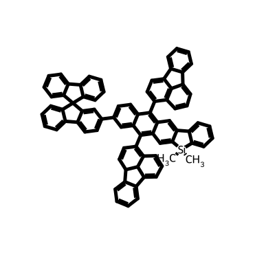 C[Si]1(C)c2ccccc2-c2cc3c(-c4ccc5c6c(cccc46)-c4ccccc4-5)c4ccc(-c5ccc6c(c5)C5(c7ccccc7-c7ccccc75)c5ccccc5-6)cc4c(C4=C5C=CC=C6c7ccccc7C(C=C4)C65)c3cc21